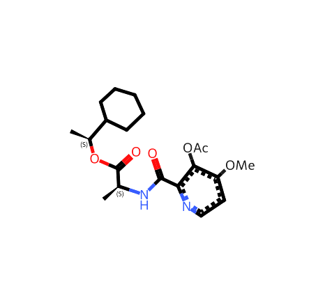 COc1ccnc(C(=O)N[C@@H](C)C(=O)O[C@@H](C)C2CCCCC2)c1OC(C)=O